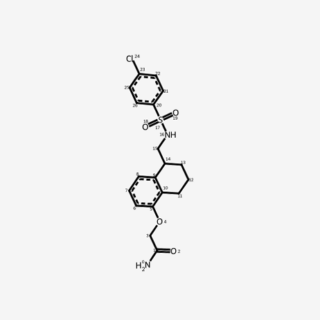 NC(=O)COc1cccc2c1CCCC2CNS(=O)(=O)c1ccc(Cl)cc1